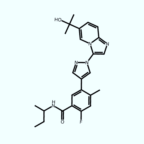 CCC(C)NC(=O)c1cc(-c2cnn(-c3cnc4ccc(C(C)(C)O)cn34)c2)c(C)cc1F